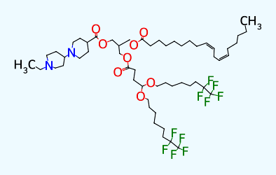 CCCCC/C=C\C/C=C\CCCCCCCC(=O)OCC(COC(=O)CCC(OCCCCCCC(F)(F)C(F)(F)F)OCCCCCCC(F)(F)C(F)(F)F)COC(=O)C1CCN(C2CCN(CC)CC2)CC1